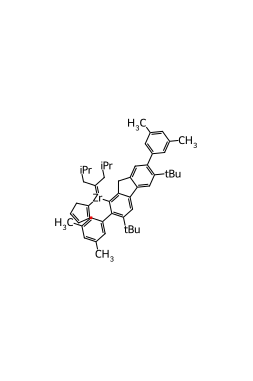 Cc1cc(C)cc(-c2cc3c(cc2C(C)(C)C)-c2cc(C(C)(C)C)c(-c4cc(C)cc(C)c4)[c]([Zr]([C]4=CC=CC4)=[C](CC(C)C)CC(C)C)c2C3)c1